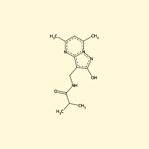 Cc1cc(C)n2nc(O)c(CNC(=O)C(C)C)c2n1